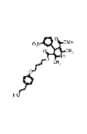 COC(=O)C1=C(C)NC(C)=C(C(=O)OCCCCOc2ccc(CCO)cc2)C1c1cccc([N+](=O)[O-])c1